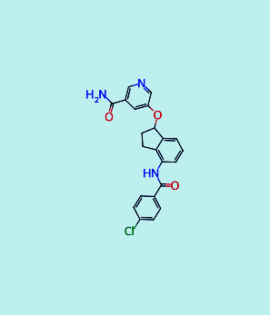 NC(=O)c1cncc(OC2CCc3c(NC(=O)c4ccc(Cl)cc4)cccc32)c1